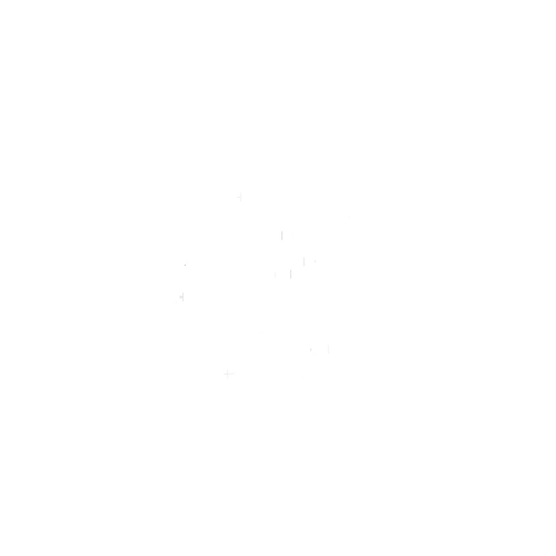 CC(CC(CO)(CO)C(=O)O)C(CO)(CO)CO.CCC(CO)(CO)CO